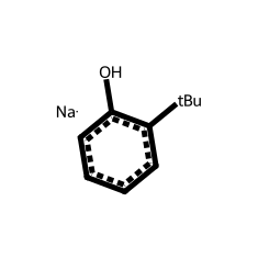 CC(C)(C)c1ccccc1O.[Na]